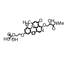 CNC(=O)[C@@H](O)COc1ncc(Cl)c2c1c(=O)cc(C)n2-c1c(Cl)cc(OCCOP(=O)(O)O)cc1Cl